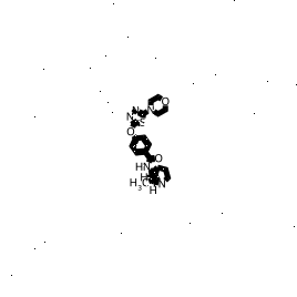 C[C@H]1[C@H](NC(=O)c2ccc(Oc3nnc(N4CCOCC4)s3)cc2)C2CCN1CC2